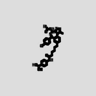 CCC(=O)N[C@@H]1N=C(c2ccc(Cl)cc2)c2cc(CCCCCC(=O)Nc3ccc(B(O)O)cc3)ccc2-n2c(C)nnc21